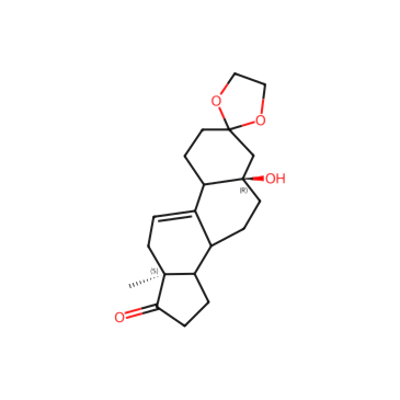 C[C@]12CC=C3C(CC[C@@]4(O)CC5(CCC34)OCCO5)C1CCC2=O